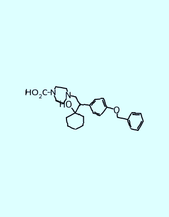 O=C(O)N1CCN(CC(c2ccc(OCc3ccccc3)cc2)C2(O)CCCCC2)CC1